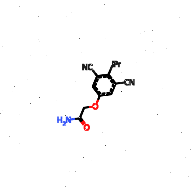 CC(C)c1c(C#N)cc(OCC(N)=O)cc1C#N